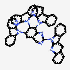 c1ccc2nc3c(cc2c1)c1ccccc1n3-c1ncc2cc(-n3c4ccccc4c4cccnc43)c(-n3c4ccccc4c4cccnc43)c(-n3c4ccccc4c4cccnc43)c2n1